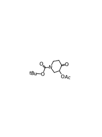 CC(=O)OC1CN(C(=O)OC(C)(C)C)CCC1=O